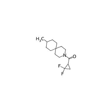 CC1CCC2(CC1)CCN(C(=O)C1CC1(F)F)CC2